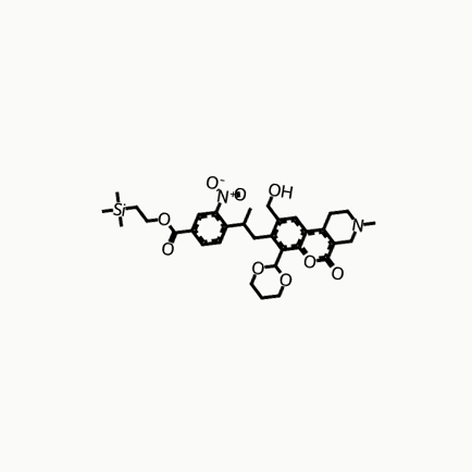 CC(Cc1c(CO)cc2c3c(c(=O)oc2c1C1OCCCO1)CN(C)CC3)c1ccc(C(=O)OCC[Si](C)(C)C)cc1[N+](=O)[O-]